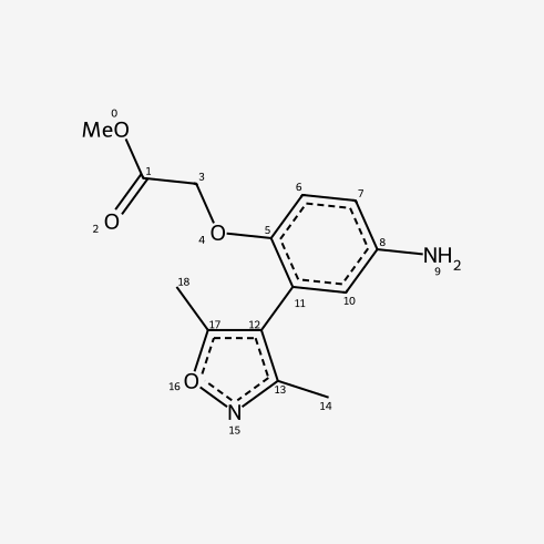 COC(=O)COc1ccc(N)cc1-c1c(C)noc1C